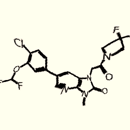 Cn1c(=O)n(CC(=O)N2CC(F)(F)C2)c2cc(-c3ccc(Cl)c(OC(F)F)c3)cnc21